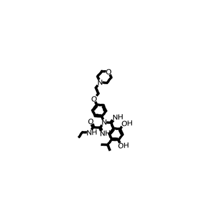 CCNC(=O)C(=N)N(C(=N)c1cc(C(C)C)c(O)cc1O)c1ccc(OCCN2CCOCC2)cc1